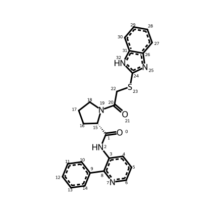 O=C(Nc1cccnc1-c1ccccc1)[C@@H]1CCCN1C(=O)CSc1nc2ccccc2[nH]1